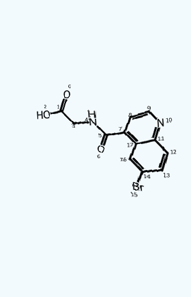 O=C(O)CNC(=O)c1ccnc2ccc(Br)cc12